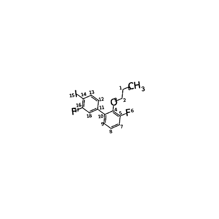 CCCOc1c(F)cccc1-c1ccc(I)c(F)c1